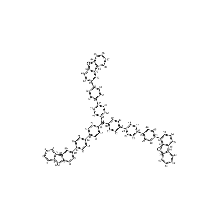 c1ccc2c(c1)oc1ccc(-c3ccc(-c4ccc(N(c5ccc(-c6ccc(-c7ccc(-c8cccc9c8oc8ccccc89)cc7)cc6)cc5)c5ccc(-c6ccc(-c7ccc8oc9ccccc9c8c7)cc6)cc5)cc4)cc3)cc12